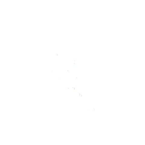 O=C(O)C=NNCC(O)(Cc1ccccc1Cl)C1(Cl)CC1